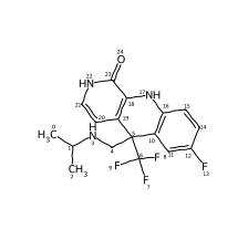 CC(C)NCC1(C(F)(F)F)c2cc(F)ccc2Nc2c1cc[nH]c2=O